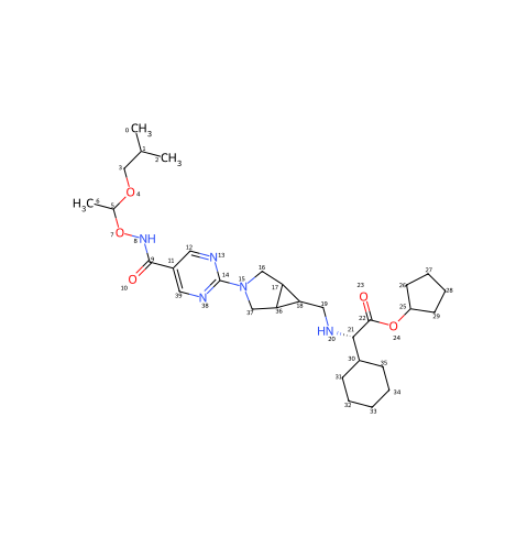 CC(C)COC(C)ONC(=O)c1cnc(N2CC3C(CN[C@H](C(=O)OC4CCCC4)C4CCCCC4)C3C2)nc1